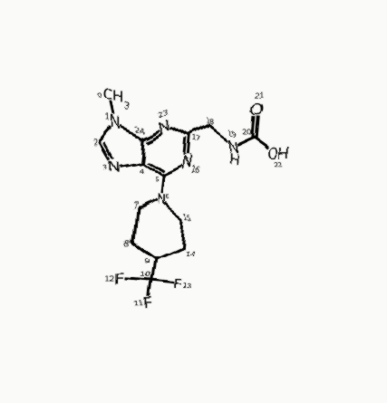 Cn1cnc2c(N3CCC(C(F)(F)F)CC3)nc(CNC(=O)O)nc21